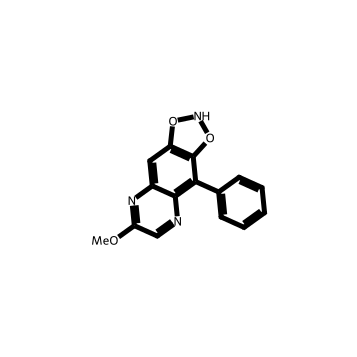 COc1cnc2c(-c3ccccc3)c3c(cc2n1)ONO3